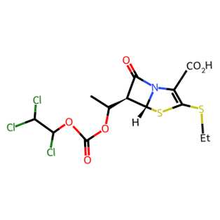 CCSC1=C(C(=O)O)N2C(=O)[C@H](C(C)OC(=O)OC(Cl)C(Cl)Cl)[C@H]2S1